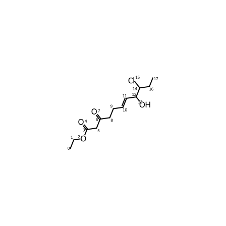 CCOC(=O)CC(=O)CCC=CC(O)C(Cl)CC